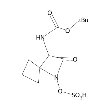 CC(C)(C)OC(=O)NC1C(=O)N(OS(=O)(=O)O)C12CCC2